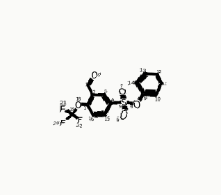 O=Cc1cc(S(=O)(=O)Oc2ccccc2)ccc1OC(F)(F)F